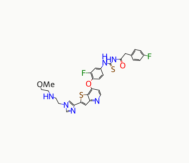 COCCNCCn1cnc(-c2cc3nccc(Oc4ccc(NC(=S)NC(=O)Cc5ccc(F)cc5)cc4F)c3s2)c1